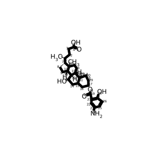 C[C@H](CCC(=O)O)[C@H]1CC[C@H]2[C@@H]3[C@@H](O)CC4C[C@@H](OC(=O)c5cc(N)ccc5O)CC[C@]4(C)[C@H]3CC[C@]12C